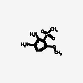 COc1ccc(N)c(N)c1S(C)(=O)=O